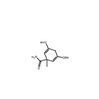 COC1=CC(C)(C(N)=O)C=C(OC)C1